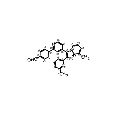 Cc1cccc(-c2nc3c(C)cccn3c2-c2ccnc(-c3ccc(C=O)cc3)c2)n1